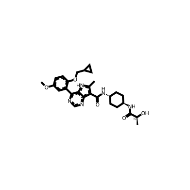 COc1ccc(OCC2CC2)c(-c2ncnc3c(C(=O)N[C@H]4CC[C@H](NC(=O)[C@H](C)O)CC4)c(C)[nH]c23)c1